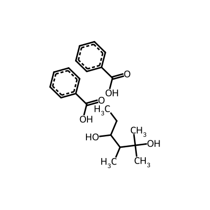 CCC(O)C(C)C(C)(C)O.O=C(O)c1ccccc1.O=C(O)c1ccccc1